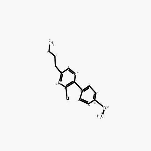 CCCCc1cnc(-c2ccc(OC)cc2)c(Cl)n1